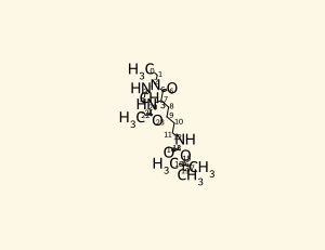 CCN(NC)C(=O)C(CCCCNC(=O)OC(C)(C)C)NC(C)=O